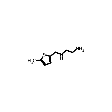 Cc1ccc(CNCCN)s1